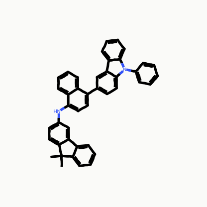 CC1(C)c2ccccc2-c2cc(Nc3ccc(-c4ccc5c(c4)c4ccccc4n5-c4ccccc4)c4ccccc34)ccc21